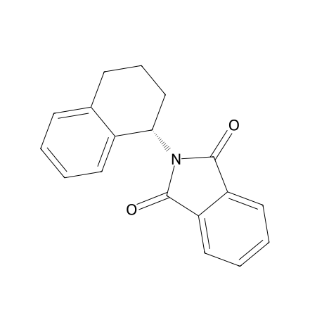 O=C1c2ccccc2C(=O)N1[C@H]1CCCc2ccccc21